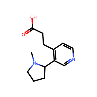 CN1CCCC1c1cnccc1CCC(=O)O